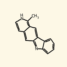 Cc1[nH]ccc2cc3nc4ccccc4c3cc12